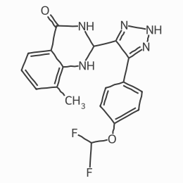 Cc1cccc2c1NC(c1n[nH]nc1-c1ccc(OC(F)F)cc1)NC2=O